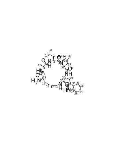 CC(C)C[C@@H]1NC(=O)[C@H](C)NC(=O)[C@H](N)CCCCNC(=O)[C@H](Cc2c[nH]c3ccccc23)NC(=O)[C@H](CC(C)C)N(C)C1=O